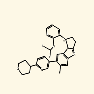 Fc1cc2nc3n(c2cc1-c1ccc(C2CCOCC2)nc1)[C@@H](c1ccccc1OC(F)F)CC3